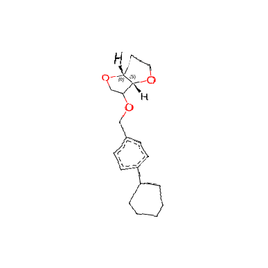 c1cc(C2CCCCC2)ccc1COC1CO[C@@H]2CCO[C@H]12